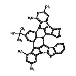 Cc1cc(C)c2c(c1)n1c3sc4ccccc4c3c3c1n2-c1cc(C(C)(C)C)cc2c1B3c1c3c4ccccc4sc3n3c4cc(C)cc(C)c4n-2c13